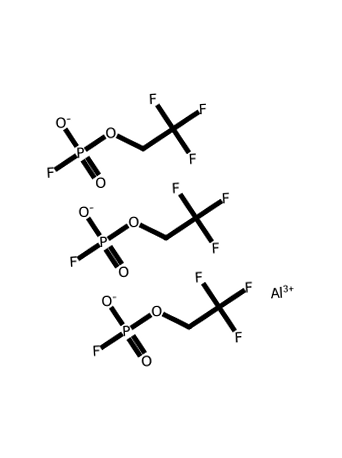 O=P([O-])(F)OCC(F)(F)F.O=P([O-])(F)OCC(F)(F)F.O=P([O-])(F)OCC(F)(F)F.[Al+3]